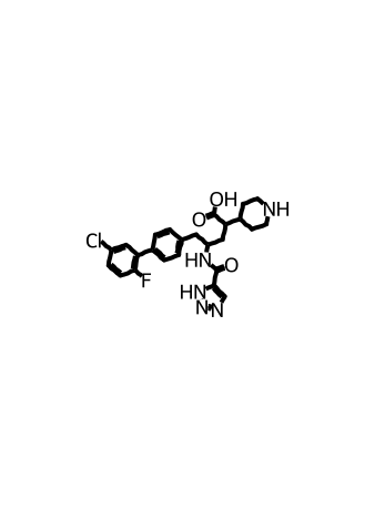 O=C(NC(Cc1ccc(-c2cc(Cl)ccc2F)cc1)CC(C(=O)O)C1CCNCC1)c1cnn[nH]1